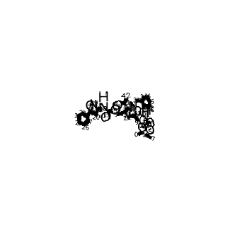 CCOP(=O)(OCC)OC[C@H](O)C[C@@H](COC(=O)Nc1cc(-c2ccccc2)on1)N(NCc1cccc(F)c1Cl)C(C)=O